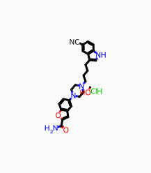 CO.Cl.N#Cc1ccc2[nH]cc(CCCCN3CCN(c4ccc5oc(C(N)=O)cc5c4)CC3)c2c1